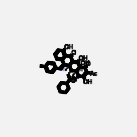 CC(=O)C1=C(O)C(C(C)C)[C@@]2(C)[C@H](CC(=O)C3CCCCC3)[C@]3(C)C(=C(O)[C@@]2(O)C1=O)C(=O)c1c(O)cccc1/C3=C\c1ccc(C)cc1